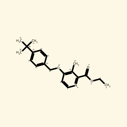 CCOC(=O)c1nccc(OCc2ccc(C(C)(C)C)cc2)c1C